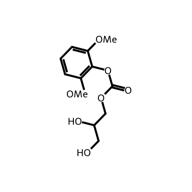 COc1cccc(OC)c1OC(=O)OCC(O)CO